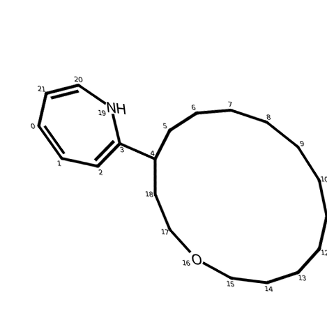 C1=CC=C(C2CCCCCCCCCCCOCC2)NC=C1